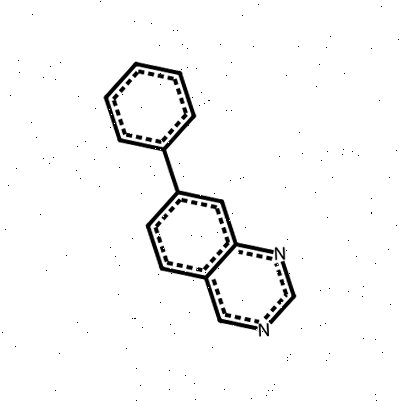 c1ccc(-c2ccc3cncnc3c2)cc1